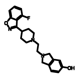 Oc1ccc2c(c1)CN(CCN1CCC(c3noc4cccc(F)c34)CC1)C2